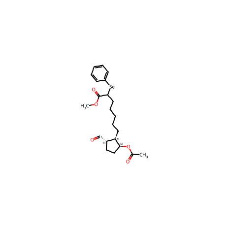 COC(=O)C(CCCCC[C@H]1[C@@H](OC(C)=O)CC[C@@H]1C=O)[Se]c1ccccc1